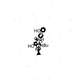 CC(C)(C)[C@H](C(=O)N1C[C@H](O)C[C@H]1C(=O)NC1CCN(C2CCCCC2O)CC1)n1cc(C2CC2)nn1